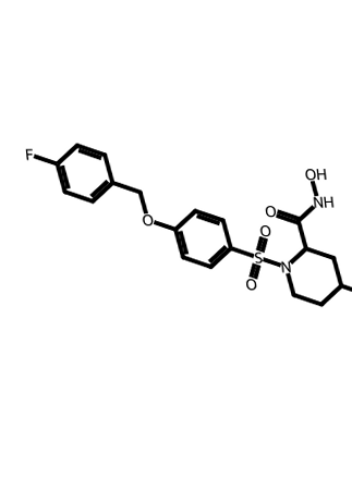 COC1CCN(S(=O)(=O)c2ccc(OCc3ccc(F)cc3)cc2)C(C(=O)NO)C1